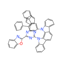 c1ccc(-c2nc(-c3nc4ccccc4o3)nc(-n3c4ccccc4c4ccc5c6ccccc6n(-c6ccc(-c7ccccc7)c(-c7ccccc7)c6)c5c43)n2)cc1